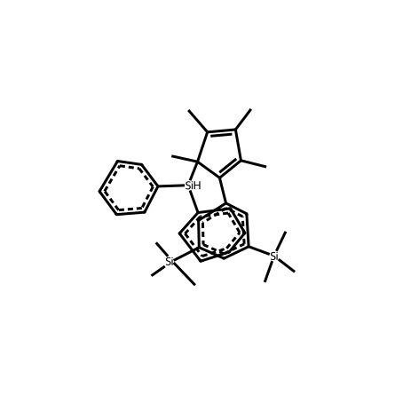 CC1=C(C)C(C)([SiH](c2ccccc2)c2ccccc2)C(c2cc([Si](C)(C)C)cc([Si](C)(C)C)c2)=C1C